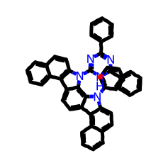 c1ccc(C2=NC(c3ccccc3)NC(n3c4ccc5ccccc5c4c4ccc5c6c7ccccc7ccc6n(-c6ccccc6)c5c43)=N2)cc1